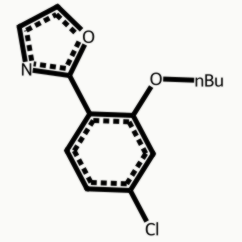 CCCCOc1cc(Cl)ccc1-c1ncco1